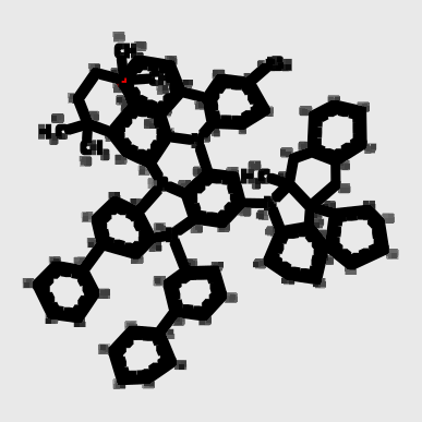 CC(C)(C)c1ccc(N2c3cc4c(cc3B3c5ccc(-c6ccccc6)cc5N(c5cccc(-c6ccccc6)c5)c5cc(N6c7ccccc7C7(c8ccccc8)Cc8ccccc8CC67C)cc2c53)C(C)(C)CCC4(C)C)c(-c2ccccc2)c1